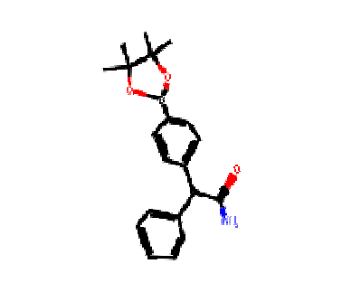 CC1(C)OB(c2ccc(C(C(N)=O)c3ccccc3)cc2)OC1(C)C